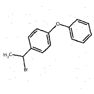 [CH2]C(Br)c1ccc(Oc2ccccc2)cc1